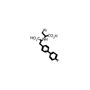 CC(C)CC(NC(Cc1ccc(-c2ccc(F)cc2)cc1)C(=O)O)C(=O)O